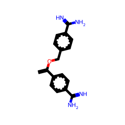 C=C(OCc1ccc(C(=N)N)cc1)c1ccc(C(=N)N)cc1